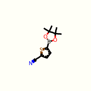 CC1(C)OB(c2ccc(C#N)s2)OC1(C)C